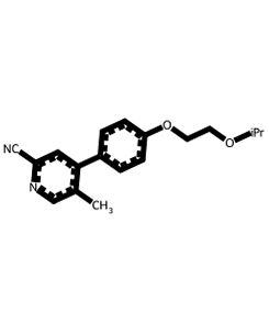 Cc1cnc(C#N)cc1-c1ccc(OCCOC(C)C)cc1